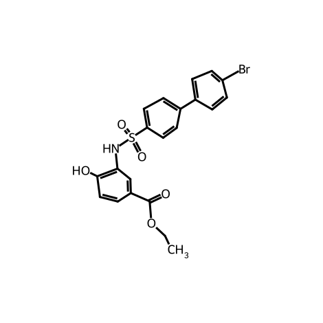 CCOC(=O)c1ccc(O)c(NS(=O)(=O)c2ccc(-c3ccc(Br)cc3)cc2)c1